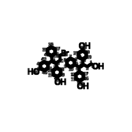 OCCC(=C(c1ccccc1)c1ccc(O)cc1)c1ccc(O)cc1.Oc1ccc(C(CCBr)=C(c2ccccc2)c2ccc(O)cc2)cc1